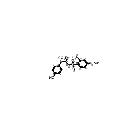 CCOC(=O)C(Cc1ccc(O)cc1)NS(=O)(=O)c1ccc(OC)cc1[N+](=O)[O-]